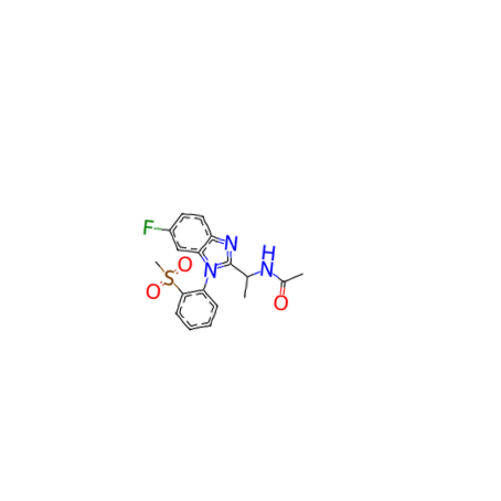 CC(=O)NC(C)c1nc2ccc(F)cc2n1-c1ccccc1S(C)(=O)=O